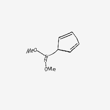 CO[SiH](OC)C1C=CC=C1